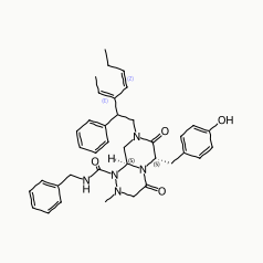 C/C=C(\C=C/CC)C(CN1C[C@H]2N(C(=O)CN(C)N2C(=O)NCc2ccccc2)[C@@H](Cc2ccc(O)cc2)C1=O)c1ccccc1